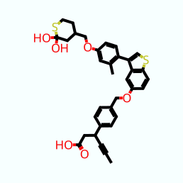 CC#CC(CC(=O)O)c1ccc(COc2ccc3scc(-c4ccc(OCC5CCSC(O)(O)C5)cc4C)c3c2)cc1